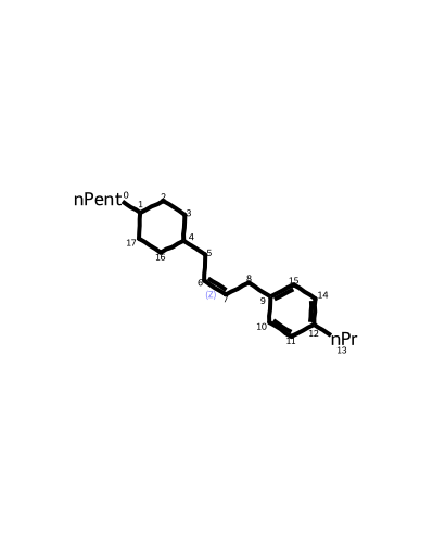 CCCCCC1CCC(C/C=C\Cc2ccc(CCC)cc2)CC1